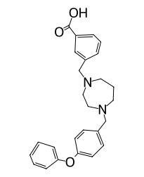 O=C(O)c1cccc(CN2CCCN(Cc3ccc(Oc4ccccc4)cc3)CC2)c1